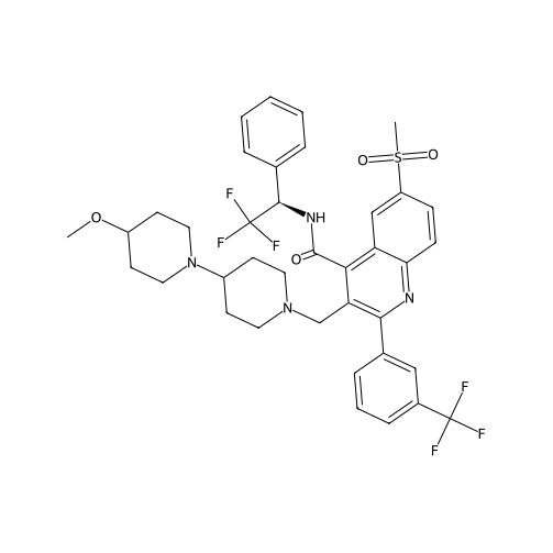 COC1CCN(C2CCN(Cc3c(-c4cccc(C(F)(F)F)c4)nc4ccc(S(C)(=O)=O)cc4c3C(=O)N[C@H](c3ccccc3)C(F)(F)F)CC2)CC1